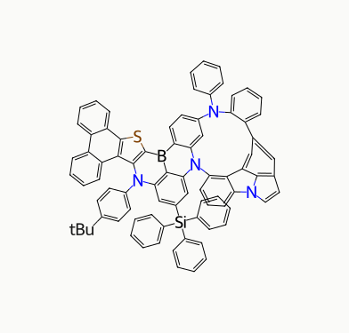 CC(C)(C)c1ccc(N2c3cc([Si](c4ccccc4)(c4ccccc4)c4ccccc4)cc4c3B(c3sc5c6ccccc6c6ccccc6c5c32)c2ccc3cc2n-4c2cccc4c2c2cc(cc5ccn4c52)c2ccccc2n3-c2ccccc2)cc1